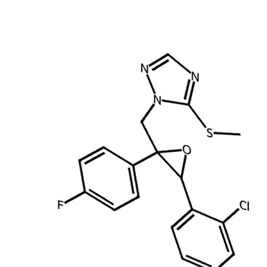 CSc1ncnn1CC1(c2ccc(F)cc2)OC1c1ccccc1Cl